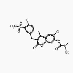 CCN(C)C(=O)Oc1cc2oc(=O)c(Cc3ccc(F)c(S(N)(=O)=O)c3)c(C)c2cc1Cl